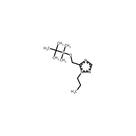 CCCn1ncnc1CO[Si](C)(C)C(C)(C)C